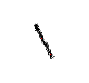 CCOCCOCCOCCOCCOC1CCC(OCCOCCOCCOCCOCC2=CSC(=C3SC=CS3)S2)CC1